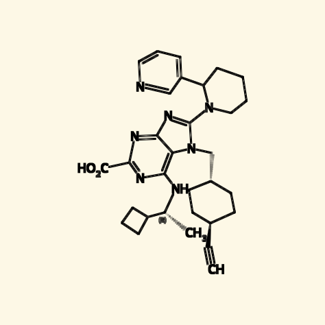 C#C[C@H]1CC[C@H](Cn2c(N3CCCCC3c3cccnc3)nc3nc(C(=O)O)nc(N[C@H](C)C4CCC4)c32)CC1